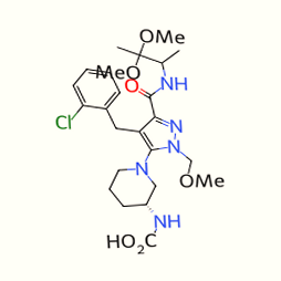 COCn1nc(C(=O)NC(C)C(C)(OC)OC)c(Cc2ccccc2Cl)c1N1CCC[C@@H](NC(=O)O)C1